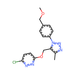 COCc1ccc(-n2nnc(C)c2COc2ccc(Cl)nn2)cc1